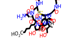 CC[C@H](C)[C@@H]1NC(=O)CNC(=O)C2Cc3c4[nH]c5cc(ccc35)OC(CCCCCC(=O)O)(C(=O)[C@H](CC(N)=O)NC(=O)C(C[S@@+]4[O-])NC(=O)CNC1=O)N1CC(O)C[C@H]1C(=O)N[C@@H]([C@@H](C)[C@@H](O)CO)C(=O)N2